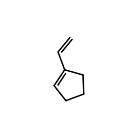 C=CC1=CCCC1